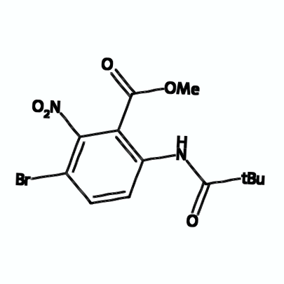 COC(=O)c1c(NC(=O)C(C)(C)C)ccc(Br)c1[N+](=O)[O-]